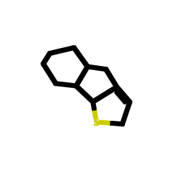 C1=C2CC3CCCCC3C2SC1